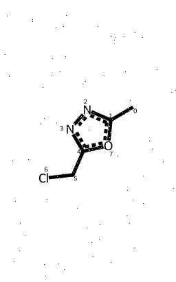 Cc1nnc(CCl)o1